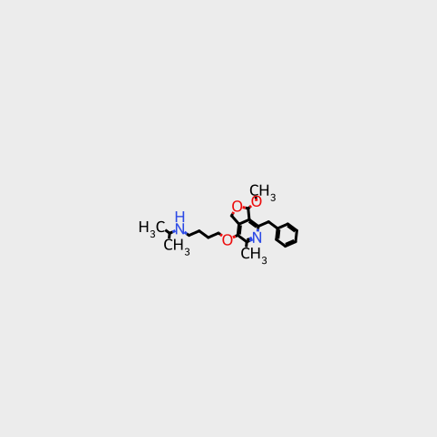 COC1OCc2c(OCCCCNC(C)C)c(C)nc(Cc3ccccc3)c21